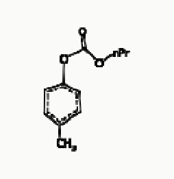 CCCOC(=O)Oc1ccc(C)cc1